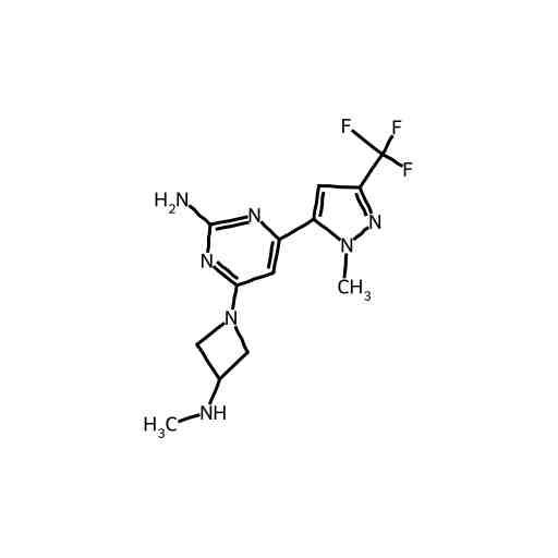 CNC1CN(c2cc(-c3cc(C(F)(F)F)nn3C)nc(N)n2)C1